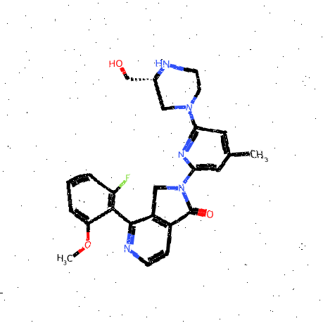 COc1cccc(F)c1-c1nccc2c1CN(c1cc(C)cc(N3CCN[C@@H](CO)C3)n1)C2=O